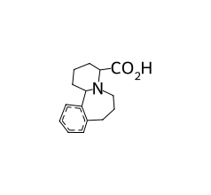 O=C(O)C1CCCC2c3ccccc3CCCN12